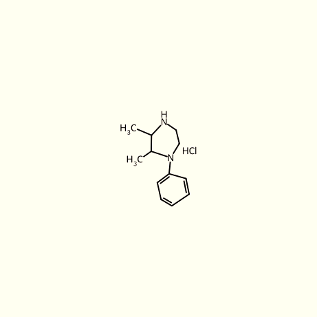 CC1NCCN(c2ccccc2)C1C.Cl